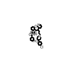 O=C(NS(=O)(=O)c1cccc2c1CC(=CCCN1CCC(O)(c3ccc(Cl)cc3)CC1)c1cccnc1O2)c1ccccc1